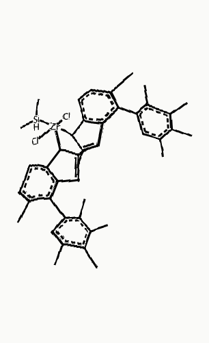 CC1=Cc2c(ccc(C)c2-c2cc(C)c(C)c(C)c2C)[CH]1[Zr]([Cl])([Cl])([CH]1C(C)=Cc2c1ccc(C)c2-c1cc(C)c(C)c(C)c1C)[SiH](C)C